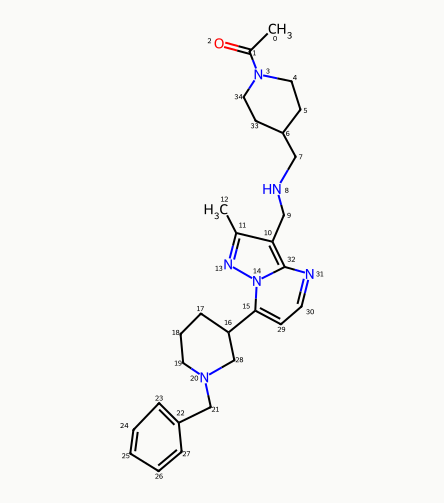 CC(=O)N1CCC(CNCc2c(C)nn3c(C4CCCN(Cc5ccccc5)C4)ccnc23)CC1